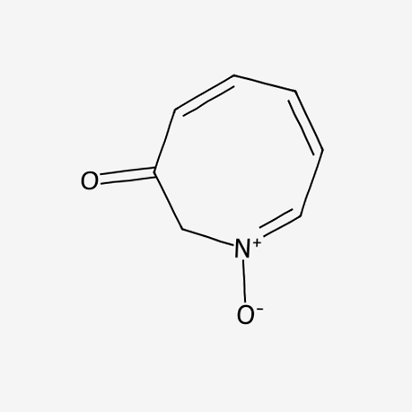 O=C1C=CC=CC=[N+]([O-])C1